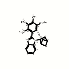 COc1cc(-c2nc3ccccc3n2[C@H]2CC3CC2C3)c(C)c(O)c1O